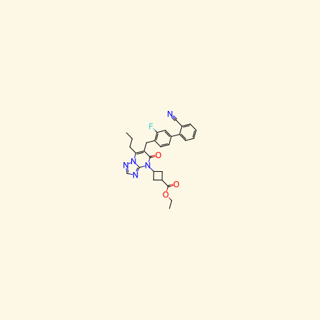 CCCc1c(Cc2ccc(-c3ccccc3C#N)cc2F)c(=O)n(C2CC(C(=O)OCC)C2)c2ncnn12